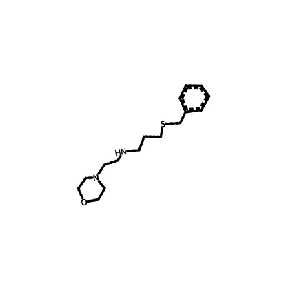 c1ccc(CSCCCNCCN2CCOCC2)cc1